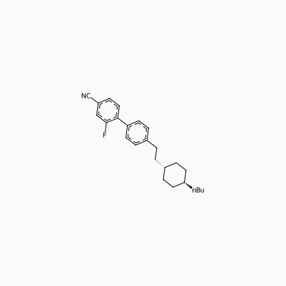 CCCC[C@H]1CC[C@H](CCc2ccc(-c3ccc(C#N)cc3F)cc2)CC1